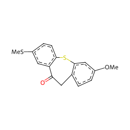 COc1ccc2c(c1)Sc1ccc(SC)cc1C(=O)C2